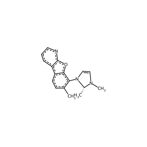 Cc1ccc2c(oc3ncccc32)c1N1C=CN(C)[C@@H]1C